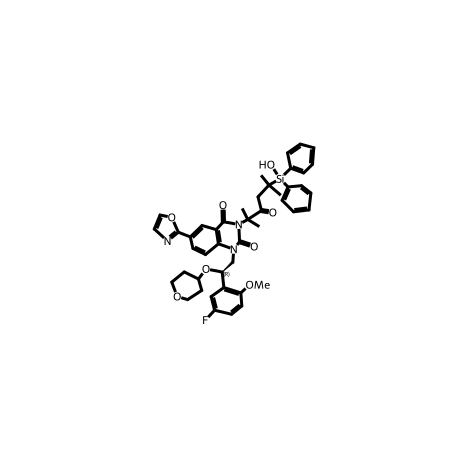 COc1ccc(F)cc1[C@H](Cn1c(=O)n(C(C)(C)C(=O)CC(C)(C)[Si](O)(c2ccccc2)c2ccccc2)c(=O)c2cc(-c3ncco3)ccc21)OC1CCOCC1